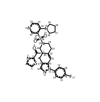 O=C(c1nccs1)[C@]12Cc3cnn(-c4ccc(F)cc4)c3C=C1CCN(S(=O)(=O)c1cnccc1N1CCCC1)C2